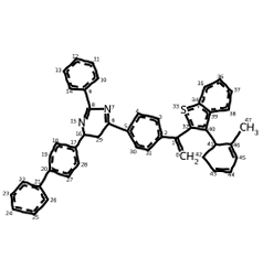 C=C(c1ccc(C2=NC(c3ccccc3)=NC(c3ccc(-c4ccccc4)cc3)C2)cc1)c1sc2ccccc2c1C1CC=CC=C1C